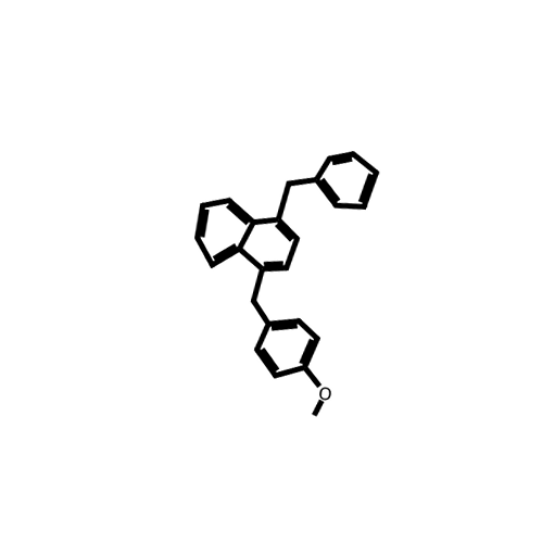 COc1ccc(Cc2ccc(Cc3ccccc3)c3ccccc23)cc1